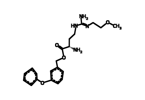 COCCN=C(N)NCC[C@H](N)C(=O)OCc1cccc(Oc2ccccc2)c1